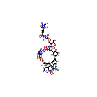 CO[C@@H](C)c1ncccc1-c1c2c3cc(ccc3n1CC(F)(F)F)-c1cccc(c1)CN(NC(=O)C(COC1CN(C(=O)C#CC(C)(C)N(C)C)C1)C(C)C)C(=O)N1CCC[C@H](N1)C(=O)OCC(C)(C)C2